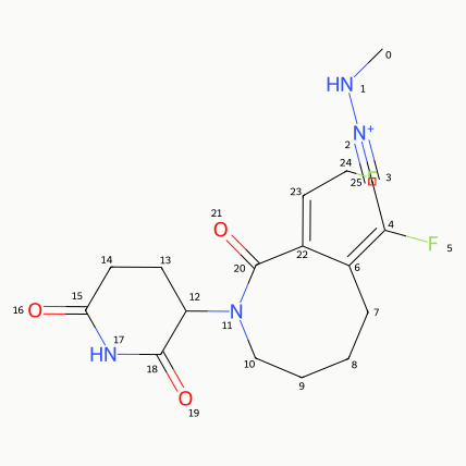 CN[N+]#C/C(F)=C1/CCCCN(C2CCC(=O)NC2=O)C(=O)/C1=C/CF